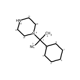 CC(C#N)(C1CCCCC1)N1CCNCC1